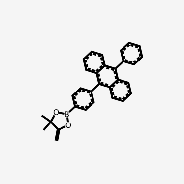 C=C1OB(c2ccc(-c3c4ccccc4c(-c4ccccc4)c4ccccc34)cc2)OC1(C)C